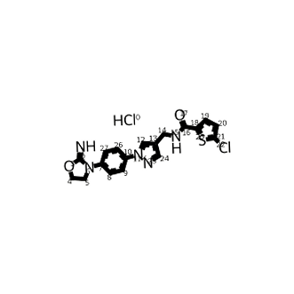 Cl.N=C1OCCN1c1ccc(-n2cc(CNC(=O)c3ccc(Cl)s3)cn2)cc1